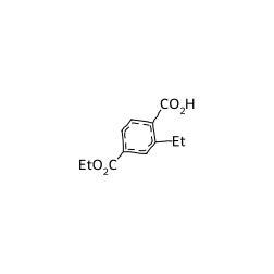 CCOC(=O)c1ccc(C(=O)O)c(CC)c1